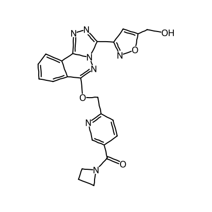 O=C(c1ccc(COc2nn3c(-c4cc(CO)on4)nnc3c3ccccc23)nc1)N1CCC1